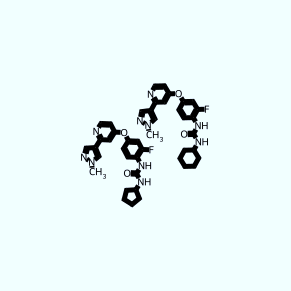 Cn1cc(-c2cc(Oc3ccc(NC(=O)NC4CCCC4)c(F)c3)ccn2)cn1.Cn1cc(-c2cc(Oc3ccc(NC(=O)NC4CCCCC4)c(F)c3)ccn2)cn1